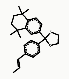 C/C=C/c1ccc(C2(c3ccc4c(c3)C(C)(C)CCC4(C)C)SCCS2)cc1